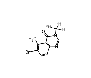 [2H]C([2H])([2H])n1cnc2ccc(Br)c(C)c2c1=O